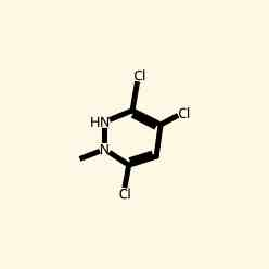 CN1NC(Cl)=C(Cl)C=C1Cl